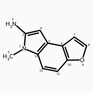 Cn1c(N)cc2c3ccoc3ccc21